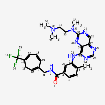 Cc1ccc(C(=O)NCC2=CCC(C(F)(F)F)=CC=C2)cc1Nc1ncnc2cnc(N(C)CCN(C)C)nc12